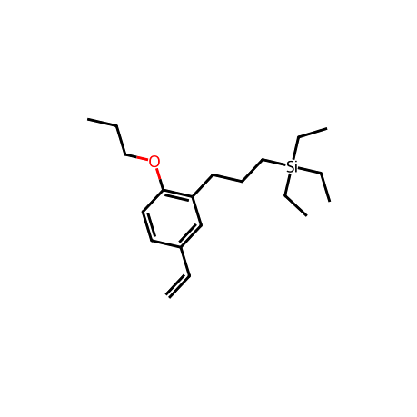 C=Cc1ccc(OCCC)c(CCC[Si](CC)(CC)CC)c1